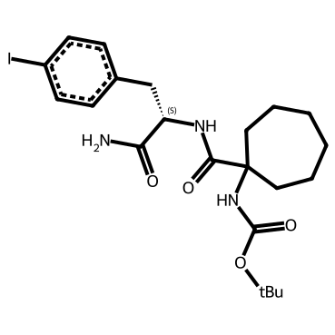 CC(C)(C)OC(=O)NC1(C(=O)N[C@@H](Cc2ccc(I)cc2)C(N)=O)CCCCCC1